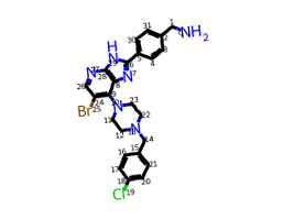 NCc1ccc(-c2nc3c(N4CCN(Cc5ccc(Cl)cc5)CC4)c(Br)cnc3[nH]2)cc1